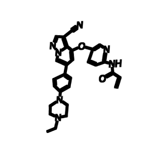 C=CC(=O)Nc1ccc(Oc2cc(-c3ccc(N4CCN(CC)CC4)cc3)cn3ncc(C#N)c23)cn1